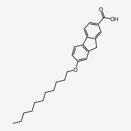 CCCCCCCCCCCOc1ccc2c(c1)Cc1cc(C(=O)O)ccc1-2